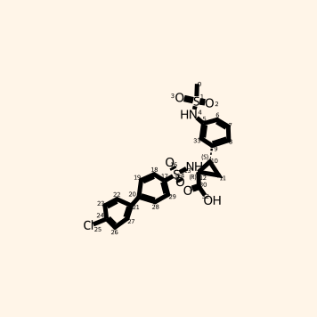 CS(=O)(=O)Nc1cccc([C@@H]2C[C@]2(NS(=O)(=O)c2ccc(-c3ccc(Cl)cc3)cc2)C(=O)O)c1